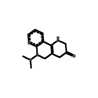 CN(C)N1CC2=C(NCC(=O)C2)c2cccnc21